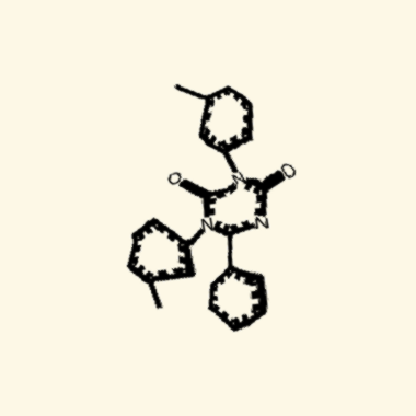 Cc1cccc(-n2c(-c3ccccc3)nc(=O)n(-c3cccc(C)c3)c2=O)c1